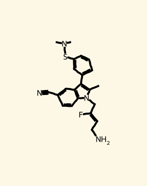 Cc1c(-c2cccc(SN(C)C)c2)c2cc(C#N)ccc2n1C/C(F)=C/CN